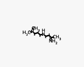 CC(N)CCNCCCN(C)C